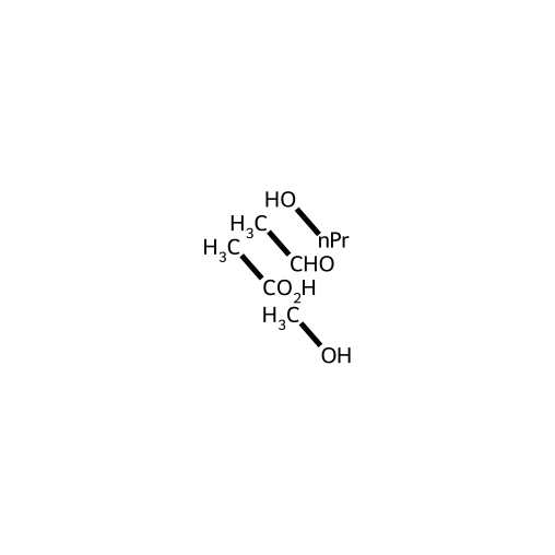 CC(=O)O.CC=O.CCCO.CO